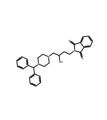 O=C1c2ccccc2C(=O)N1CCC(O)CN1CCN(C(c2ccccc2)c2ccccc2)CC1